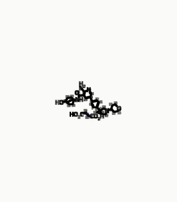 Nc1ncc(-c2ccc(C34CC3CN(C3CCOCC3)C4)cc2)cc1C(=O)NC12CCC(O)(CC1)CC2.O=C(O)/C=C/C(=O)O